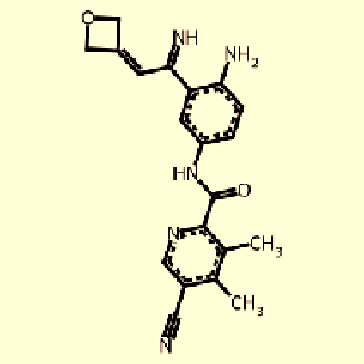 Cc1c(C#N)cnc(C(=O)Nc2ccc(N)c(C(=N)C=C3COC3)c2)c1C